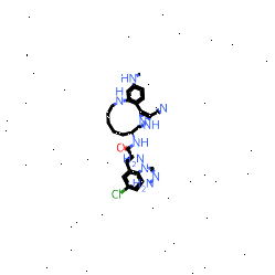 CNc1ccc2c(c1)NCCCCC[C@H](NC(=O)/C=C/c1cc(Cl)ccc1N(N)/C=N\N)c1nc-2c(C#N)[nH]1